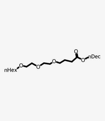 CCCCCCCCCCOC(=O)CCCOCCOCCOCCCCCC